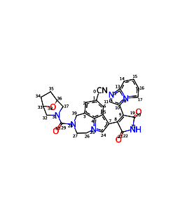 N#Cc1cc2c3c(c1)c(C1=C(c4cnc5ccccn45)C(=O)NC1=O)cn3CCN(C(=O)N1CC3CCC(C1)O3)C2